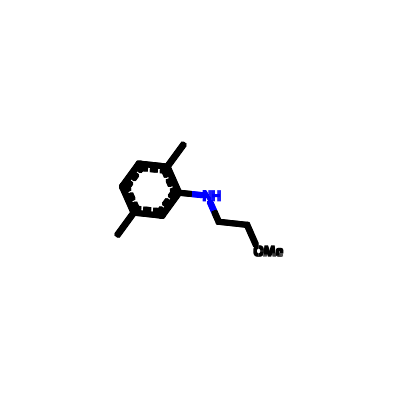 COCCNc1cc(C)ccc1C